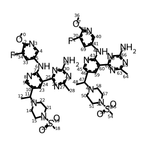 COc1ncc(Nc2ncc(C(C)N3CCN(S(C)(=O)=O)CC3)cc2-c2nc(C)nc(N)n2)cc1F.COc1ncc(Nc2ncc(C(C)N3CCN(S(C)(=O)=O)CC3)cc2-c2nc(C)nc(N)n2)cc1F